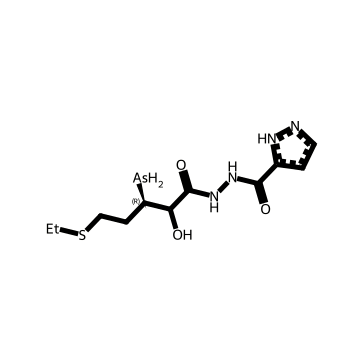 CCSCC[C@@H]([AsH2])C(O)C(=O)NNC(=O)c1ccn[nH]1